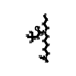 CCCCN(CCCCCN(C)C)C(=O)CC(C)(C)C